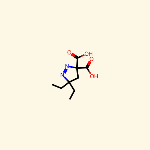 CCC1(CC)CC(C(=O)O)(C(=O)O)N=N1